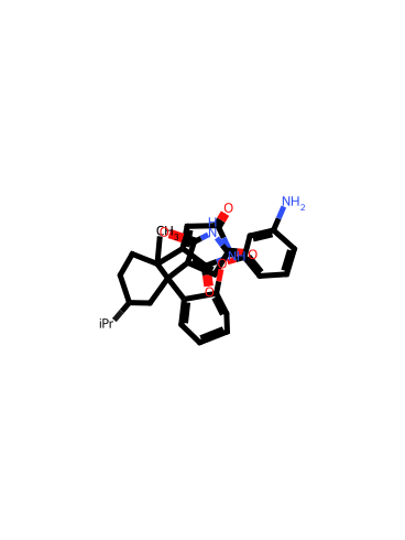 CC(C)C1CCC(C)(C2=CC(=O)NC2=O)C(C2=CC(=O)NC2=O)(c2ccccc2Oc2cccc(N)c2)C1